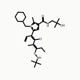 C=C/C(=C(Cl)\C(C)=C(/CC)SNC(C)(C)C)c1cc(C(=O)NCC(C)(C)O)c(C)n1CC1CCCCC1